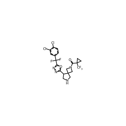 O=C(N1CC2(CNCC2c2nnc(C(F)(F)c3ccc(Cl)c(Cl)c3)o2)C1)C1(C(F)(F)F)CC1